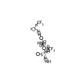 CC1(C)CCC(CN2CCN(c3ccc(C(=O)NS(=O)(=O)c4ccc(NC(CCN5CCNCC5)CSc5ccccc5)c(S(=O)(=O)C(F)(F)F)c4)cc3)CC2)=C(C23CC(C(F)(F)F)(C2)C3)C1